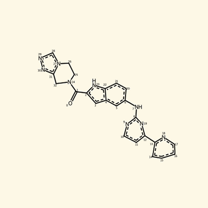 O=C(c1cc2cc(Nc3nccc(-c4ccccn4)n3)ccc2[nH]1)N1CCn2cnnc2C1